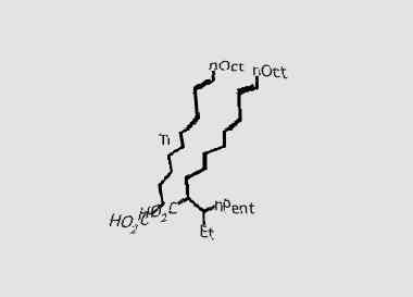 CCCCCCCCC=CCCCCCCC(C(=O)O)C(CC)CCCCC.CCCCCCCCC=CCCCCCCCC(=O)O.[Ti]